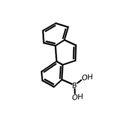 OB(O)c1cccc2c1ccc1ccccc12